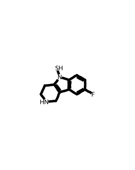 Fc1ccc2c(c1)c1c(n2S)CCNC1